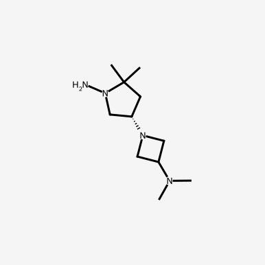 CN(C)C1CN([C@@H]2CN(N)C(C)(C)C2)C1